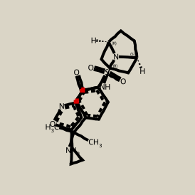 CC(C)(N)c1ccc(S(=O)(=O)N2[C@@H]3CC[C@H]2C[C@@H](NC(=O)c2cc(C4CC4)on2)C3)cc1